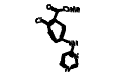 COC(=O)c1cc(Nc2ccncn2)ccc1Cl